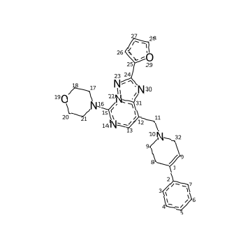 C1=C(c2ccccc2)CCN(Cc2cnc(N3CCOCC3)n3nc(-c4ccco4)nc23)C1